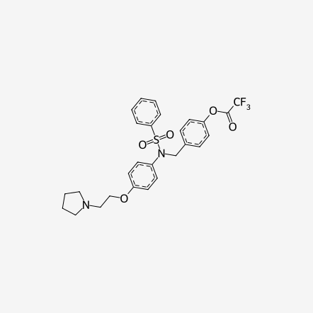 O=C(Oc1ccc(CN(c2ccc(OCCN3CCCC3)cc2)S(=O)(=O)c2ccccc2)cc1)C(F)(F)F